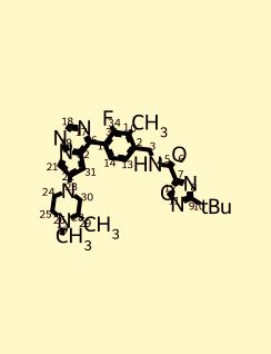 Cc1c(CNC(=O)c2nc(C(C)(C)C)no2)ccc(-c2ncnn3cc(N4CCN(C)[C@H](C)C4)cc23)c1F